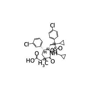 C[C@@]1(CC(=O)O)C[C@H](c2cccc(Cl)c2)[C@H](C[C@@](c2ccc(Cl)cc2)(C2CC2)S(=O)(=O)CC2CC2)NC1=O